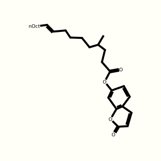 CCCCCCCC/C=C/CCCCC(C)CCC(=O)Oc1ccc2ccc(=O)oc2c1